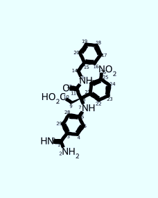 N=C(N)c1ccc(N[C@](CC(=O)O)(C(=O)NCc2ccccc2)c2cccc([N+](=O)[O-])c2)cc1